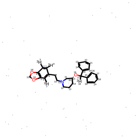 [2H]c1c([2H])c2c(c([2H])c1CCN1CCC[C@@H](OC([2H])(c3ccccc3)c3ccccc3)C1)OCO2